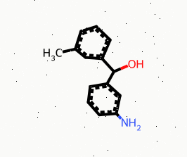 Cc1cccc(C(O)c2cccc(N)c2)c1